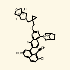 C#Cc1c(Cl)ccc2cc(O)cc(-c3ccc4c(N5CC6CCC(C5)N6)nc(OCC5(CN6C[C@H]7COC[C@H]7C6)CC5)nc4c3F)c12